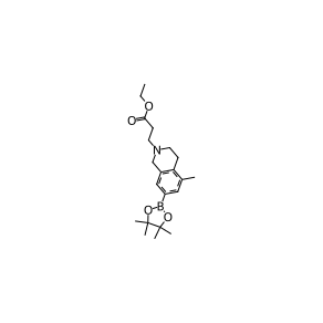 CCOC(=O)CCN1CCc2c(C)cc(B3OC(C)(C)C(C)(C)O3)cc2C1